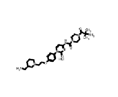 CC(C)(N)C(=O)N1CCN(C(=O)Nc2ccn(-c3ccc(OCCN4CCCC(CN)C4)cc3)c(=O)n2)CC1.Cl